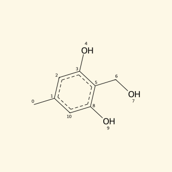 Cc1cc(O)c(CO)c(O)c1